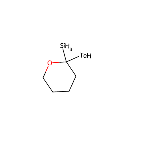 [SiH3]C1([TeH])CCCCO1